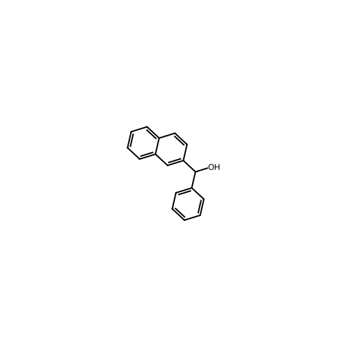 O[C](c1ccccc1)c1ccc2ccccc2c1